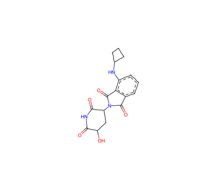 O=C1NC(=O)C(N2C(=O)c3cccc(NC4CCC4)c3C2=O)CC1O